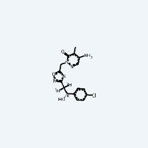 [2H]C([2H])(c1noc(Cn2ncc(N)c(C)c2=O)n1)[C@@H](O)c1ccc(Cl)cc1